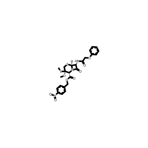 CO[C@]1(SC)CS[C@H]2[C@H](NC(=O)COc3ccccc3)C(=O)N2[C@@H]1C(=O)OCc1ccc([N+](=O)[O-])cc1